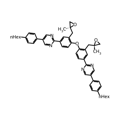 CCCCCCc1ccc(-c2cnc(-c3ccc(Oc4ccc(-c5ncc(-c6ccc(CCCCCC)cc6)cn5)cc4C[C@@]4(C)CO4)c(C[C@@]4(C)CO4)c3)nc2)cc1